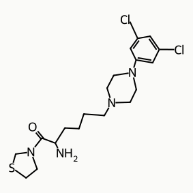 NC(CCCCN1CCN(c2cc(Cl)cc(Cl)c2)CC1)C(=O)N1CCSC1